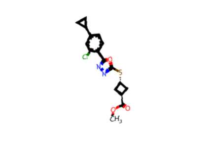 COC(=O)[C@H]1C[C@H](Sc2nnc(-c3ccc(C4CC4)cc3Cl)o2)C1